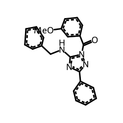 COc1cccc(C(=O)n2nc(-c3ccccc3)nc2NCc2ccccc2)c1